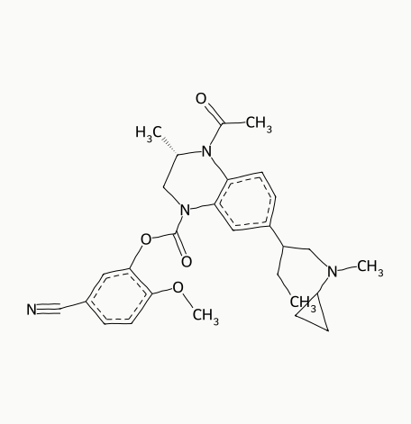 CCC(CN(C)C1CC1)c1ccc2c(c1)N(C(=O)Oc1cc(C#N)ccc1OC)C[C@H](C)N2C(C)=O